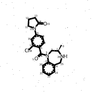 C[C@@H]1CN(C(=O)c2ccc(N3CCCC3=O)cc2Cl)c2ccccc2CN1